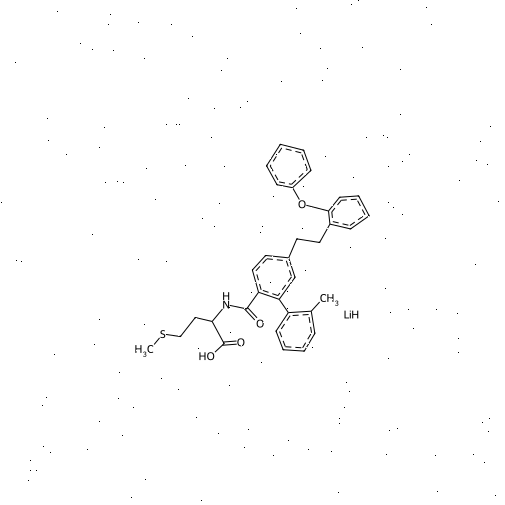 CSCCC(NC(=O)c1ccc(CCc2ccccc2Oc2ccccc2)cc1-c1ccccc1C)C(=O)O.[LiH]